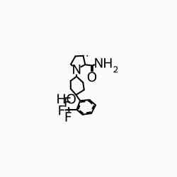 NC(=O)C1[CH]CCN1C1CCC(O)(c2ccccc2C(F)(F)F)CC1